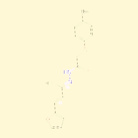 CC(/C=C/c1ccco1)=N\NC(=O)COc1ccc(C(C)(C)C)cc1